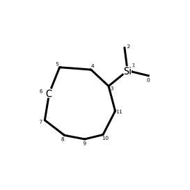 C[Si](C)C1CCCCCCCC1